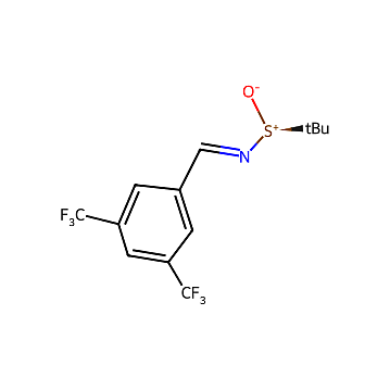 CC(C)(C)[S@+]([O-])N=Cc1cc(C(F)(F)F)cc(C(F)(F)F)c1